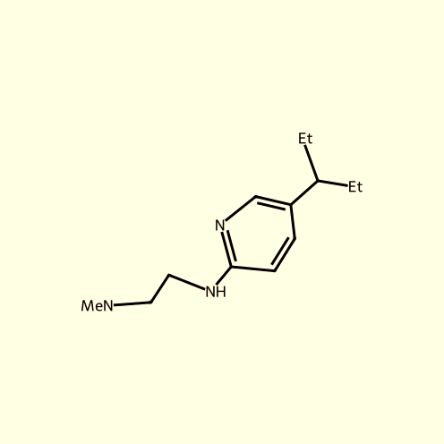 CCC(CC)c1ccc(NCCNC)nc1